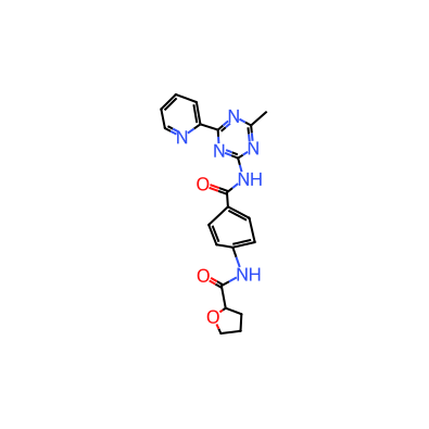 Cc1nc(NC(=O)c2ccc(NC(=O)C3CCCO3)cc2)nc(-c2ccccn2)n1